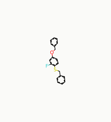 Fc1cc(OCc2ccccc2)ccc1SCc1ccccc1